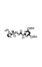 CCCN1C=CSC1S(=O)(=O)N=NC(=O)Nc1nc(OC)cc(OC)n1